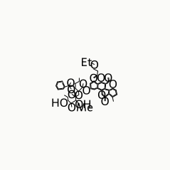 CCOCCC(=O)Oc1c2ccc(OC3OC(C)C4OC(c5ccccc5)OC4C3OC3OC(C)C(O)C(OC)C3O)cc2c2oc(=O)c3c(C)ccc4oc(=O)c1c2c43